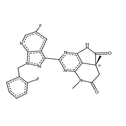 CN1C(=O)C[C@@]2(C)C(=O)Nc3nc(-c4nn(Cc5ccccc5F)c5ncc(F)cc45)nc1c32